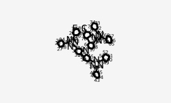 FC(F)(F)c1ccc(-c2cc(-n3c4cc(-c5nc(-c6ccccc6)nc(-c6ccccc6)n5)ccc4c4ccc(-c5nc(-c6ccccc6)nc(-c6ccccc6)n5)cc43)ccc2-c2nc(-c3ccccc3)nc(-c3ccccc3)n2)cc1